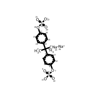 CC(C)(c1ccc(OS(=O)(=O)[O-])cc1)c1ccc(OS(=O)(=O)[O-])cc1.[Na+].[Na+]